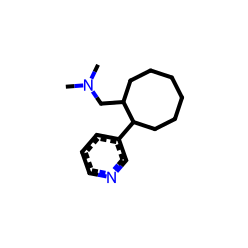 CN(C)CC1CCCCCCC1c1cccnc1